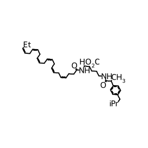 CC/C=C\C/C=C\C/C=C\C/C=C\C/C=C\C/C=C\CCC(=O)N[C@@H](CCCCNC(=O)C(C)c1ccc(CC(C)C)cc1)C(=O)O